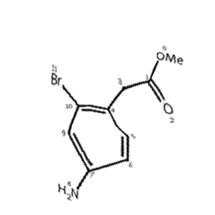 COC(=O)Cc1ccc(N)cc1Br